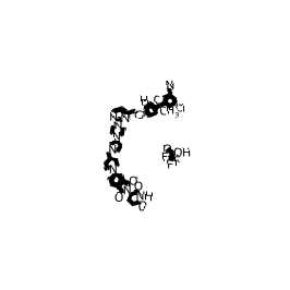 CC(C)(c1ccc(OCc2ccnc(N3CCN(C4CCN(CC5CCN(c6ccc7c(c6)C(=O)N(C6CCC(=O)NC6=O)C7=O)CC5)C4)CC3)n2)cc1)c1cc(Cl)cc(C#N)c1.O=C(O)C(F)(F)F